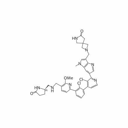 COc1nc(-c2cccc(-c3ccnc(-c4cnc5c(CN6CC7(CNC(=O)C7)C6)cn(C)c5c4)c3Cl)c2Cl)ccc1CNC[C@H]1CCC(=O)N1